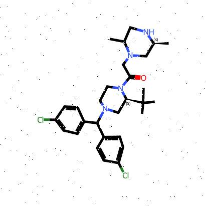 CC1CN[C@@H](C)CN1CC(=O)N1CCN(C(c2ccc(Cl)cc2)c2ccc(Cl)cc2)C[C@@H]1C(C)(C)C